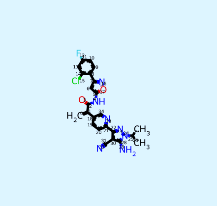 C=C(C(=O)Nc1cc(-c2ccc(F)cc2Cl)no1)c1ccc(-c2nn(C(C)C)c(N)c2C#N)nc1